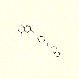 Nc1ncc(Cl)c2cc(NCc3cnc(OCC4CCn5ccnc5C4)nc3)ccc12